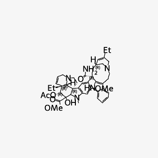 CCC1=C[C@@H]2CN(CCc3c([nH]c4ccccc34)[C@@](C(N)=O)(c3cc4c(cc3OC)N(C)C3C(O)(C(=O)OC)[C@H](OC(C)=O)[C@]5(CC)C=CCN6CC[C@]43[C@@H]65)C2)C1